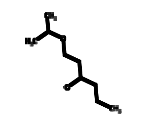 CCCC([O])CCOC(C)C